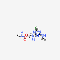 CCNC(=O)OCCNc1nc(Cl)nc(NCC)n1